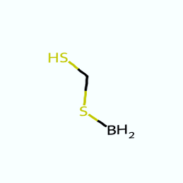 BSCS